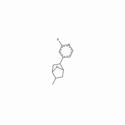 CC1CC2OC1CC2c1ccnc(F)c1